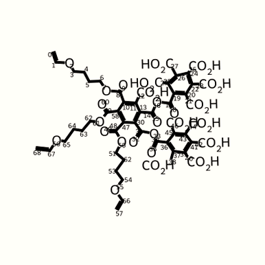 C=COCCCCOC(=O)c1c(C(=O)O)c(C(=O)OC(=O)c2c(C(=O)O)c(C(=O)O)c(C(=O)O)c(C(=O)O)c2C(=O)O)c(C(=O)OC(=O)c2c(C(=O)O)c(C(=O)O)c(C(=O)O)c(C(=O)O)c2C(=O)O)c(C(=O)OCCCCOC=C)c1C(=O)OCCCCOC=C